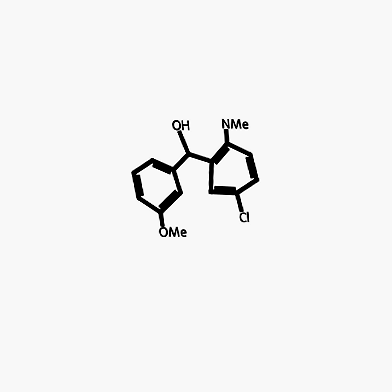 CNc1ccc(Cl)cc1C(O)c1cccc(OC)c1